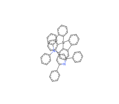 c1ccc(-c2cc(-c3cccc4c3[Si]3(c5ccccc5-4)c4ccccc4-c4cccc(N(c5ccccc5)c5ccccc5)c43)cc(-c3ccccc3)n2)cc1